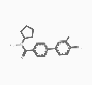 Cc1ccc(-c2ccc(C(=O)N(C)C3CCCC3)cc2)cc1F